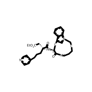 CCOC(=O)C[C@@H](CCCc1ccncc1)C(=O)N[C@H]1Cc2cn(c3ccccc23)CCCCCNC1=O